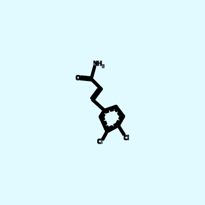 NC(=O)/C=C/c1ccc(Cl)c(Cl)c1